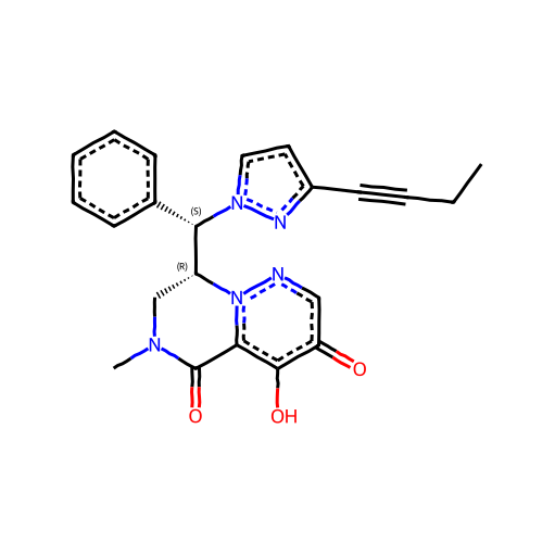 CCC#Cc1ccn([C@@H](c2ccccc2)[C@H]2CN(C)C(=O)c3c(O)c(=O)cnn32)n1